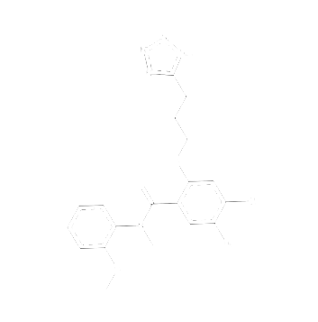 COc1ccccc1N(C)C(=O)c1cc(Br)c(Cl)cc1OCCCc1nnn[nH]1